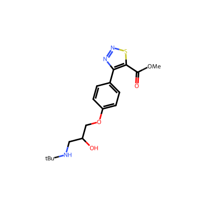 COC(=O)c1snnc1-c1ccc(OCC(O)CNC(C)(C)C)cc1